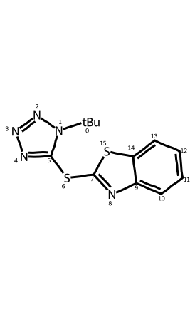 CC(C)(C)n1nnnc1Sc1nc2ccccc2s1